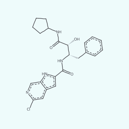 O=C(N[C@@H](Cc1ccccc1)[C@@H](O)C(=O)NC1CCCC1)c1cc2cc(Cl)ncc2[nH]1